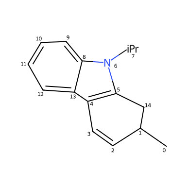 CC1C=Cc2c(n(C(C)C)c3ccccc23)C1